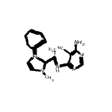 C[C@H](Nc1ncnc(N)c1C#N)C1N(C)C=CN1c1ccccc1